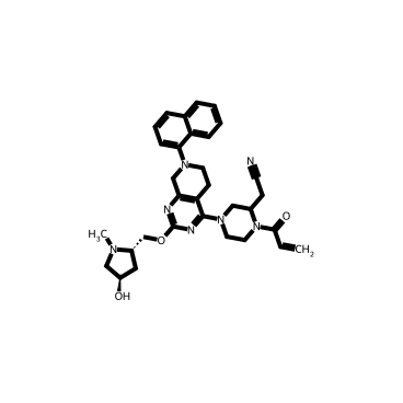 C=CC(=O)N1CCN(c2nc(OC[C@@H]3C[C@@H](O)CN3C)nc3c2CCN(c2cccc4ccccc24)C3)CC1CC#N